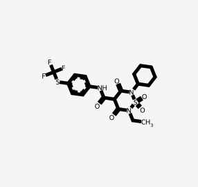 CCN1C(=O)C(C(=O)Nc2ccc(SC(F)(F)F)cc2)C(=O)N(C2CCCCC2)S1(=O)=O